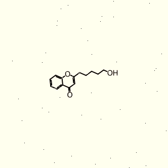 O=c1cc(CCCCCO)oc2ccccc12